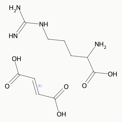 N=C(N)NCCCC(N)C(=O)O.O=C(O)/C=C/C(=O)O